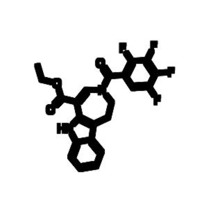 CCOC(=O)C1=CN(C(=O)c2cc(F)c(F)c(F)c2F)CCc2c1[nH]c1ccccc21